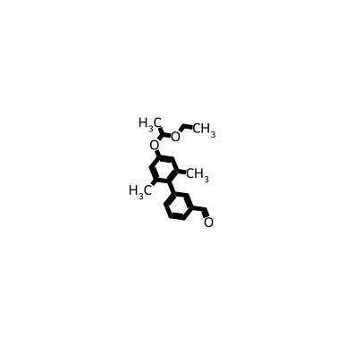 CCOC(C)Oc1cc(C)c(-c2cccc(C=O)c2)c(C)c1